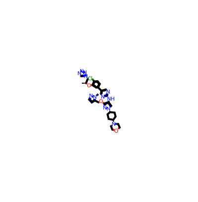 C[C@@H](Cn1cnnn1)Oc1cc(-c2cnc(Nc3cn([C@H]4CC[C@H](N5CCOCC5)CC4)nc3OCc3ccnn3C)nc2)ccc1Cl